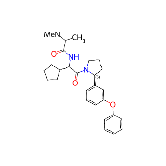 CNC(C)C(=O)NC(C(=O)N1CCC[C@H]1c1cccc(Oc2ccccc2)c1)C1CCCC1